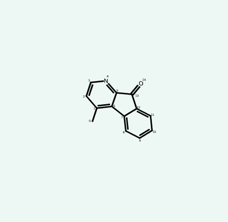 Cc1ccnc2c1-c1ccccc1C2=O